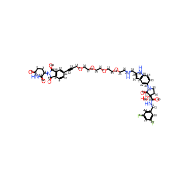 O=C1CCC(N2C(=O)c3ccc(C#CCOCCOCCOCCOCCNCc4cc5cc(N6CC[C@](O)(C(=O)NCc7cc(F)cc(F)c7)C6=O)ccc5[nH]4)cc3C2=O)C(=O)N1